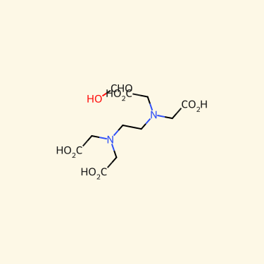 O=C(O)CN(CCN(CC(=O)O)CC(=O)O)CC(=O)O.O=CO